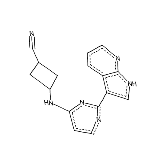 N#CC1CC(Nc2ccnc(-c3c[nH]c4ncccc34)n2)C1